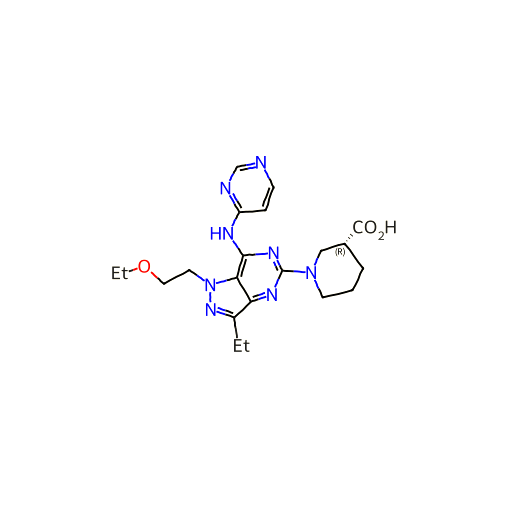 CCOCCn1nc(CC)c2nc(N3CCC[C@@H](C(=O)O)C3)nc(Nc3ccncn3)c21